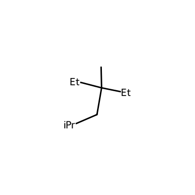 CCC(C)(CC)CC(C)C